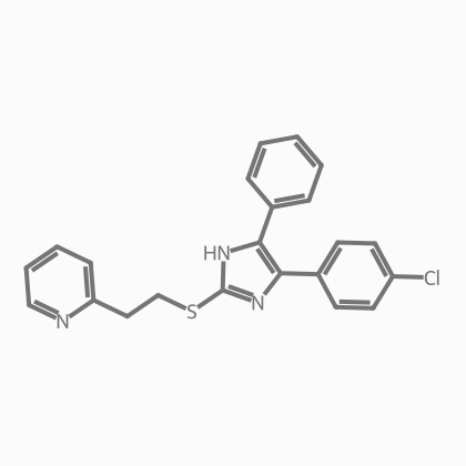 Clc1ccc(-c2nc(SCCc3ccccn3)[nH]c2-c2ccccc2)cc1